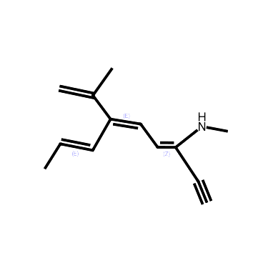 C#C/C(=C/C=C(\C=C\C)C(=C)C)NC